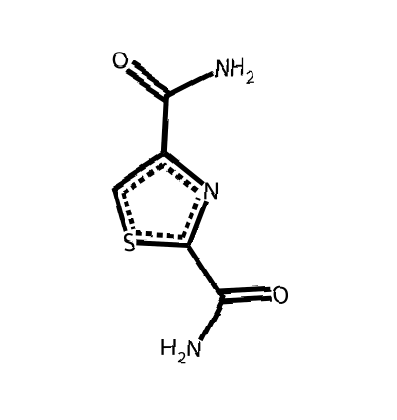 NC(=O)c1csc(C(N)=O)n1